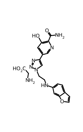 NC(=O)c1ncc(-c2cn(CCNc3ccc4ccoc4c3)nn2)cc1O.NCC(=O)O